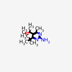 COC(C)c1c(C)nc(N)nc1C(C)(C)C